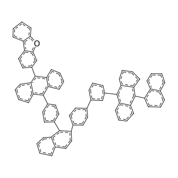 c1cc(-c2ccc(-c3ccc4ccccc4c3-c3ccc(-c4c5ccccc5c(-c5ccc6c(c5)oc5ccccc56)c5ccccc45)cc3)cc2)cc(-c2c3ccccc3c(-c3cccc4ccccc34)c3ccccc23)c1